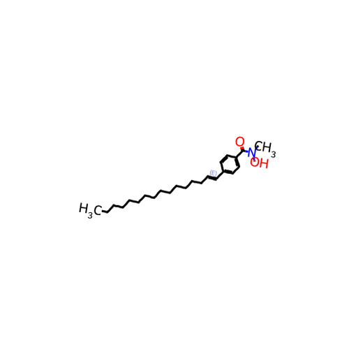 CCCCCCCCCCCCCC/C=C/c1ccc(C(=O)N(C)O)cc1